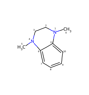 CN1CCN(C)c2ccccc21